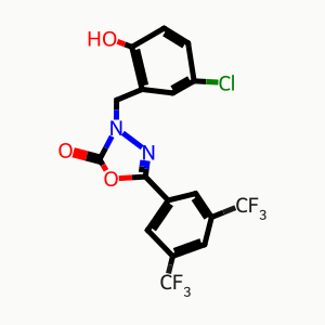 O=c1oc(-c2cc(C(F)(F)F)cc(C(F)(F)F)c2)nn1Cc1cc(Cl)ccc1O